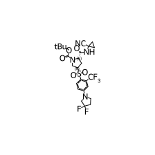 CC(C)(C)OC(=O)N1C[C@H](S(=O)(=O)c2ccc(N3CCC(F)(F)C3)cc2C(F)(F)F)C[C@H]1C(=O)NC1(C#N)CC1